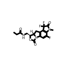 CCC(=O)NC[C@@H]1OC(=O)N2c3cc(F)c4c(c3C[C@@H]12)C(F)(F)C(=O)N4C